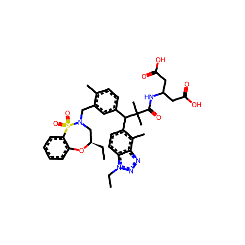 CC[C@@H]1CN(Cc2cc(C(c3ccc4c(nnn4CC)c3C)C(C)(C)C(=O)NC(CC(=O)O)CC(=O)O)ccc2C)S(=O)(=O)c2ccccc2O1